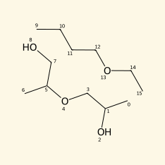 CC(O)COC(C)CO.CCCCOCC